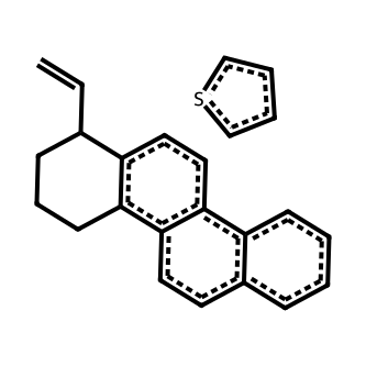 C=CC1CCCc2c1ccc1c2ccc2ccccc21.c1ccsc1